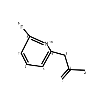 C=C(C)Cc1cccc(F)n1